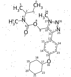 CCC(C)N(C)C(=O)OCc1c(-c2ccc(OC3CCCCC3)cc2)nnn1C